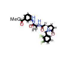 COC(=O)c1cccc(NC(=O)C(NC(=O)C[C@@H]2CCC(=O)N2Cc2cccc(F)c2F)C(C)C)c1